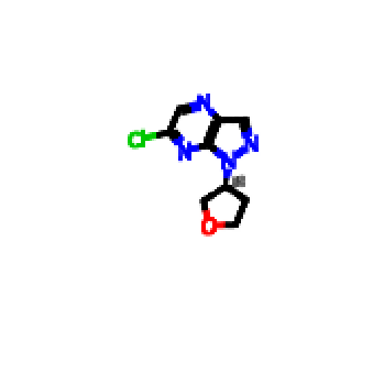 Clc1cnc2cnn([C@H]3CCOC3)c2n1